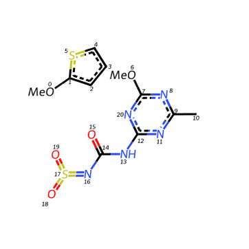 COc1cccs1.COc1nc(C)nc(NC(=O)N=S(=O)=O)n1